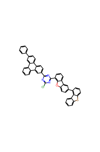 Clc1nc(-c2ccc3c4ccc(-c5ccccc5)cc4c4ccccc4c3c2)nc(-c2cccc3c2oc2ccc(-c4cccc5sc6ccccc6c45)cc23)n1